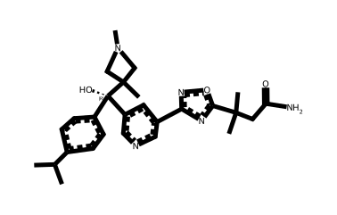 CC(C)c1ccc([C@](O)(c2cncc(-c3noc(C(C)(C)CC(N)=O)n3)c2)C2(C)CN(C)C2)cc1